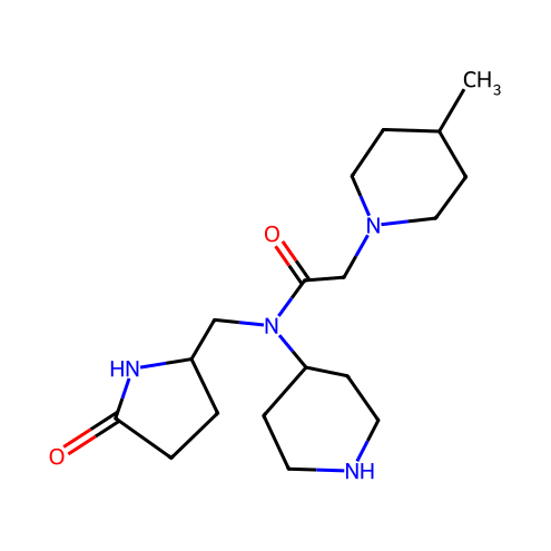 CC1CCN(CC(=O)N(CC2CCC(=O)N2)C2CCNCC2)CC1